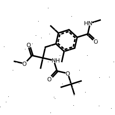 CNC(=O)c1cc(C)c(CC(C)(NC(=O)OC(C)(C)C)C(=O)OC)c(C)c1